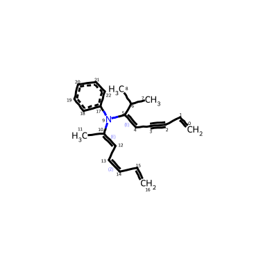 C=CC#C/C=C(\C(C)C)N(/C(C)=C/C=C\C=C)c1ccccc1